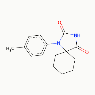 Cc1ccc(N2C(=O)NC(=O)C23CCCCC3)cc1